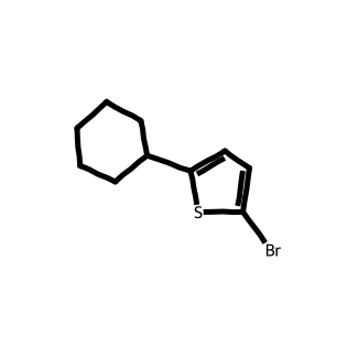 Brc1ccc(C2CCCCC2)s1